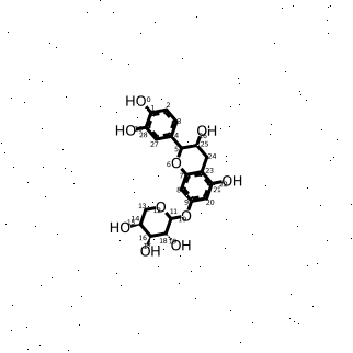 Oc1ccc(C2Oc3cc(OC4OC[C@H](O)[C@H](O)[C@H]4O)cc(O)c3CC2O)cc1O